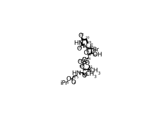 CC(C)OC(=O)CCNC(=O)[C@@H]1OP(=O)(OC[C@H]2O[C@@H](n3ccc(=O)[nH]c3=O)C(F)(Br)[C@H]2O)OCC1(C)C